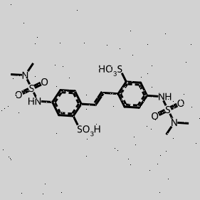 CN(C)S(=O)(=O)Nc1ccc(/C=C/c2ccc(NS(=O)(=O)N(C)C)cc2S(=O)(=O)O)c(S(=O)(=O)O)c1